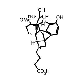 CO[C@]12CC[C@@]3(C[C@@H]1[C@](C)(O)C(C)(C)C)[C@@H]1N(CCCC(=O)O)CC14C[C@@]31c3c4ccc(O)c3O[C@@H]21